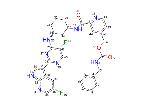 O=C(NCc1ccccc1)OCc1ccnc(C(=O)NC2CCC[C@H](Nc3nc(-c4c[nH]c5ncc(F)cc45)ncc3F)C2)c1